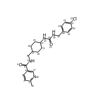 Cc1ccc(C(=O)NCC2CCC(NC(=O)NCc3ccc(Cl)cc3)CC2)cn1